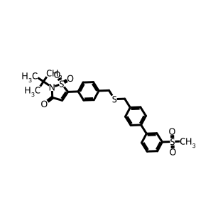 CC(C)(C)N1C(=O)C=C(c2ccc(CSCc3ccc(-c4cccc(S(C)(=O)=O)c4)cc3)cc2)S1(=O)=O